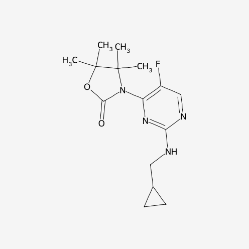 CC1(C)OC(=O)N(c2nc(NCC3CC3)ncc2F)C1(C)C